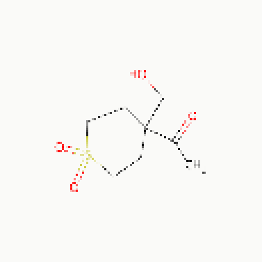 CC(=O)C1(CO)CCS(=O)(=O)CC1